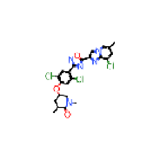 Cc1cc(Cl)c2nc(-c3nc(-c4cc(Cl)c(O[C@@H]5CC(C)C(=O)N(C)C5)cc4Cl)no3)cn2c1